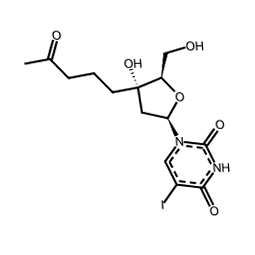 CC(=O)CCC[C@]1(O)C[C@H](n2cc(I)c(=O)[nH]c2=O)O[C@@H]1CO